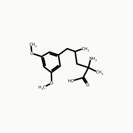 COc1cc(CC(C)CC(C)(N)C(=O)O)cc(OC)c1